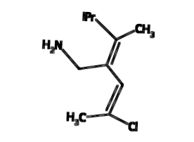 C/C(=C(\C=C(/C)Cl)CN)C(C)C